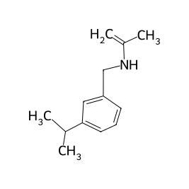 C=C(C)NCc1cccc(C(C)C)c1